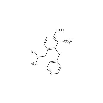 CCCCC(CC)Cc1ccc(C(=O)O)c(C(=O)O)c1Cc1ccccc1